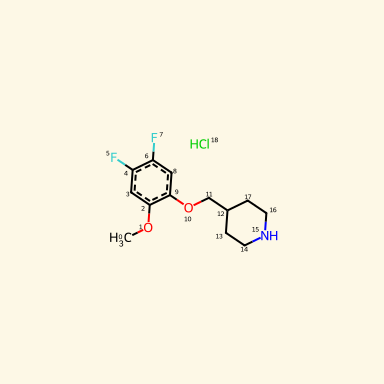 COc1cc(F)c(F)cc1OCC1CCNCC1.Cl